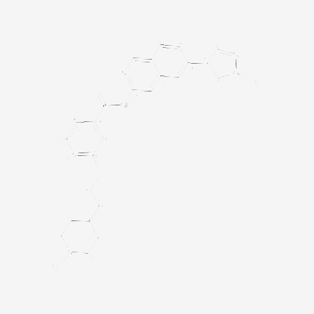 CN1CCC(CCOc2cc(C(=O)Nc3cc4cc(-c5cnn(C)c5)ccc4cn3)ccn2)CC1